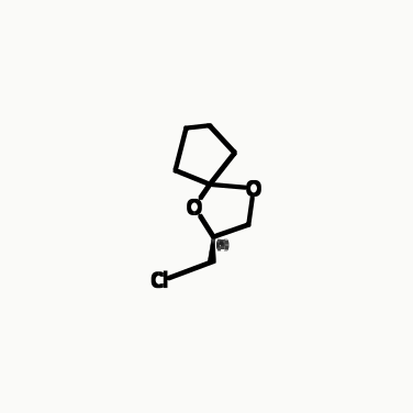 ClC[C@@H]1COC2(CCCC2)O1